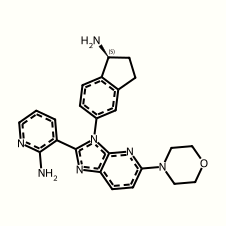 Nc1ncccc1-c1nc2ccc(N3CCOCC3)nc2n1-c1ccc2c(c1)CC[C@@H]2N